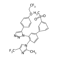 Cc1nc(C(F)(F)F)cn1-c1ccc(-c2cccc(S(C)(=O)=O)c2)cc1-n1nncc1-c1ccc(OCC(F)(F)F)cc1